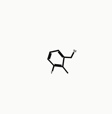 Cc1c(F)cccc1CBr